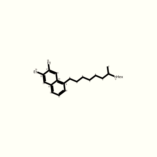 CCC[CH]CCC(C)CCCCCCc1cccc2cc(CC)c(CC)cc12